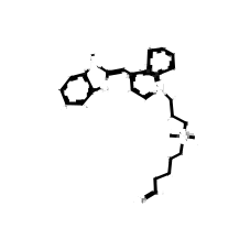 CN1/C(=C/c2cc[n+](CCC[N+](C)(C)CCCCC=O)c3ccccc23)Sc2ccccc21